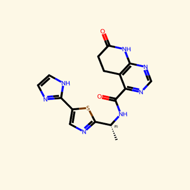 C[C@@H](NC(=O)c1ncnc2c1CCC(=O)N2)c1ncc(-c2ncc[nH]2)s1